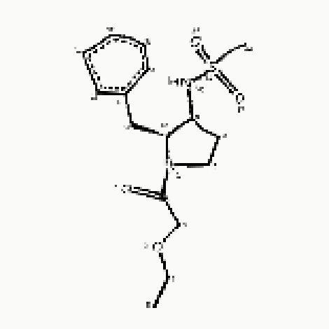 CCOCC(=O)N1CCC(NS(C)(=O)=O)[C@@H]1Cc1ccccc1